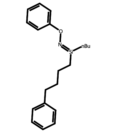 CCCC[Si](CCCCc1ccccc1)=NOc1ccccc1